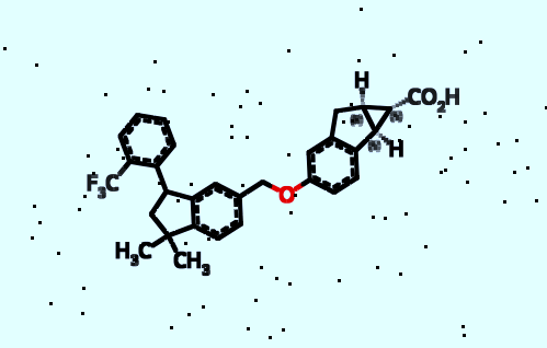 CC1(C)CC(c2ccccc2C(F)(F)F)c2cc(COc3ccc4c(c3)C[C@H]3[C@H](C(=O)O)[C@@H]43)ccc21